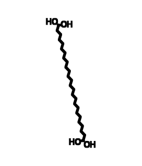 OC(O)CCCCCCCCCCCCCCCCCCCCCCCCC(O)O